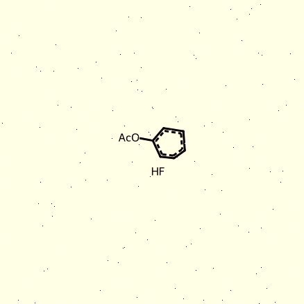 CC(=O)Oc1ccccc1.F